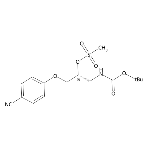 CC(C)(C)OC(=O)NC[C@H](COc1ccc(C#N)cc1)OS(C)(=O)=O